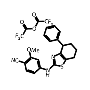 COc1cc(Nc2nc3c(s2)CCCC3c2ccccc2)ccc1C#N.O=C(OC(=O)C(F)(F)F)C(F)(F)F